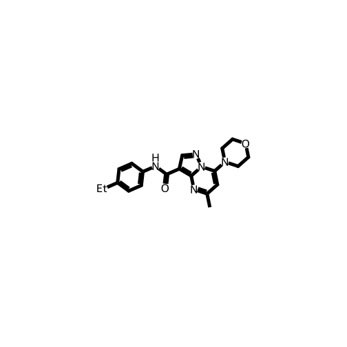 CCc1ccc(NC(=O)c2cnn3c(N4CCOCC4)cc(C)nc23)cc1